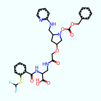 O=C(COC1CC(CNc2ccccn2)N(OC(=O)OCc2ccccc2)C1)NCC(NC(=O)c1ccccc1SC(F)F)C(=O)O